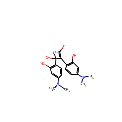 CN(C)c1ccc(C2=C([O-])[C+2]C2([O-])c2ccc(N(C)C)cc2O)c(O)c1